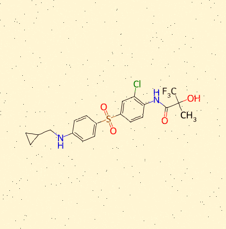 CC(O)(C(=O)Nc1ccc(S(=O)(=O)c2ccc(NCC3CC3)cc2)cc1Cl)C(F)(F)F